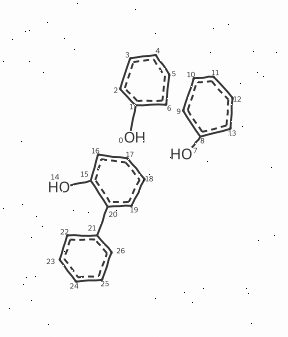 Oc1ccccc1.Oc1ccccc1.Oc1ccccc1-c1ccccc1